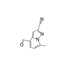 Cc1ccc(C=O)c2cc(C#N)nn12